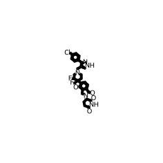 O=C1CC[C@H](N2Cc3c(ccc4c3OCC43CCN(Cc4c[nH]nc4-c4ccc(Cl)cc4)CC3(F)F)C2=O)C(=O)N1